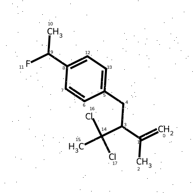 C=C(C)C(Cc1ccc(C(C)F)cc1)C(C)(Cl)Cl